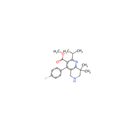 COC(=O)c1c(C(C)C)nc2c(c1-c1ccc(F)cc1)CNCC2(C)C